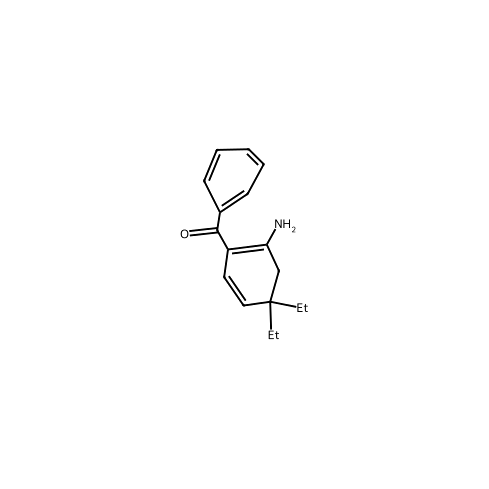 CCC1(CC)C=CC(C(=O)c2ccccc2)=C(N)C1